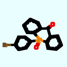 O=C1c2ccccc2P(=O)(c2ccc(Br)cc2)c2ccccc21